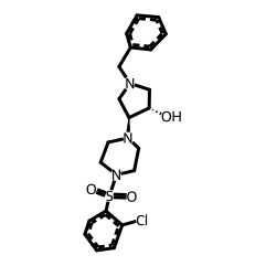 O=S(=O)(c1ccccc1Cl)N1CCN([C@H]2CN(Cc3ccccc3)C[C@@H]2O)CC1